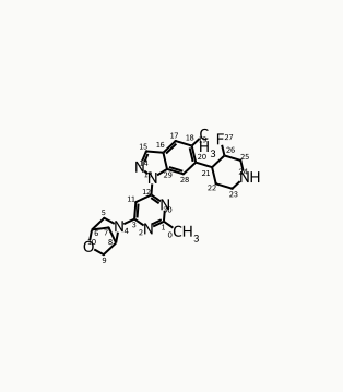 Cc1nc(N2CC3CC2CO3)cc(-n2ncc3cc(C)c(C4CCNCC4F)cc32)n1